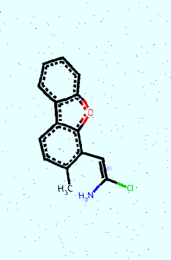 Cc1ccc2c(oc3ccccc32)c1/C=C(\N)Cl